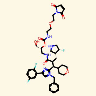 O=C(NCCOCCN1C(=O)C=CC1=O)O[C@@H](CO)CNC(=O)C(C[C@@H]1CNC[C@@H]1F)C(c1nc(-c2cc(F)ccc2F)cn1Cc1ccccc1)C1CCOCC1